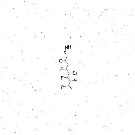 CC(F)C(F)C(F)C(Cl)C(F)CC(=O)CC=N